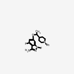 CC(Oc1cc(F)c2c(N)nn(F)c2c1)C1CCN(C(C)C)CC1